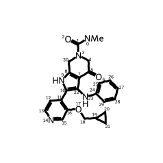 CNC(=O)N1CC(=O)c2c([nH]c(-c3ccncc3OCC3CC3)c2Nc2ccccc2)C1